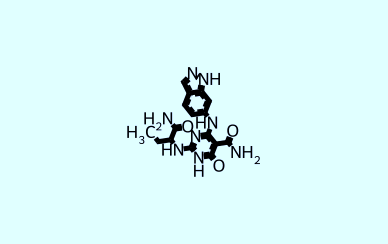 CCC(Nc1nc(Nc2ccc3cn[nH]c3c2)c(C(N)=O)c(=O)[nH]1)C(N)=O